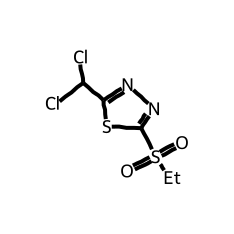 CCS(=O)(=O)c1nnc(C(Cl)Cl)s1